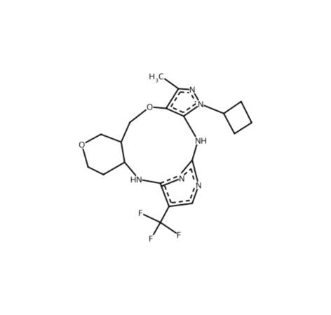 Cc1nn(C2CCC2)c2c1OCC1COCCC1Nc1nc(ncc1C(F)(F)F)N2